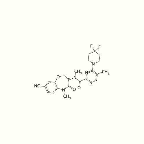 Cc1cnc(C(=O)N(C)P2COc3cc(C#N)ccc3N(C)C2=O)nc1N1CCC(F)(F)CC1